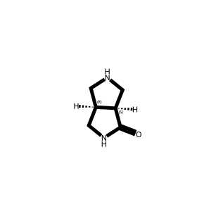 O=C1NC[C@H]2CNC[C@@H]12